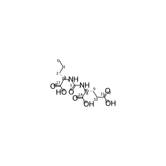 CCC[C@H](NC(=O)N[C@H](CCC(=O)O)C(=O)O)C(=O)O